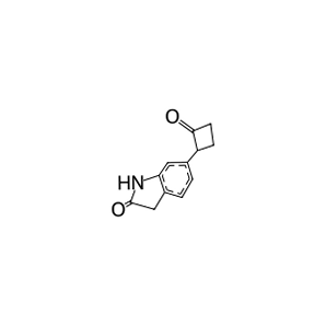 O=C1Cc2ccc(C3CCC3=O)cc2N1